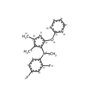 Cc1c(N(C)c2ccc(F)cc2F)c(Oc2ncccn2)nn1C